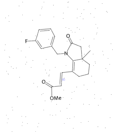 COC(=O)/C=C/C1=C2N(Cc3cccc(F)c3)C(=O)CC2(C)CCC1